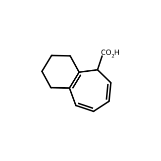 O=C(O)C1C=CC=CC2=C1CCCC2